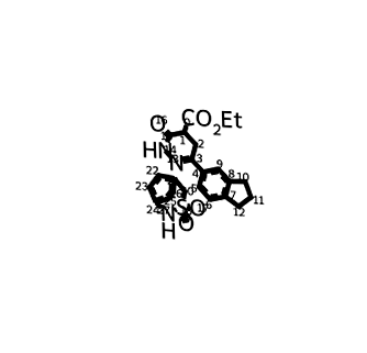 CCOC(=O)C1CC(c2ccc3c(c2)CCC3)=NNC1=O.O=S1(=O)Cc2ccc(cc2)N1